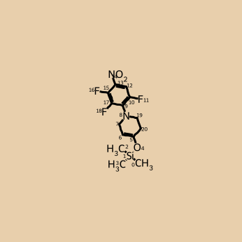 C[Si](C)(C)OC1=CCN(c2c(F)cc([N+](=O)[O-])c(F)c2F)CC1